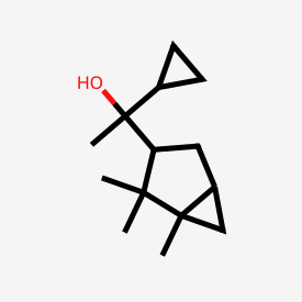 CC(O)(C1CC1)C1CC2CC2(C)C1(C)C